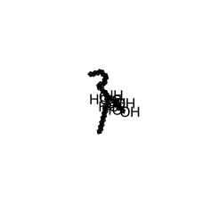 CCCCC/C=C\C/C=C\C/C=C\C/C=C\CCCC(=O)N[C@@H](COC(OC)C(O)C(O)C(O)CCO)[C@H](O)[C@H](O)CCCCCCCCCCCCCC